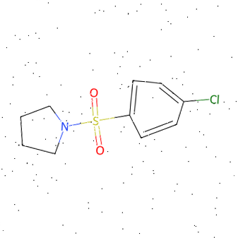 O=S(=O)(c1ccc(Cl)cc1)N1C[CH]CC1